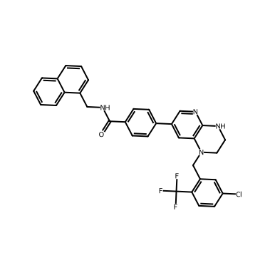 O=C(NCc1cccc2ccccc12)c1ccc(-c2cnc3c(c2)N(Cc2cc(Cl)ccc2C(F)(F)F)CCN3)cc1